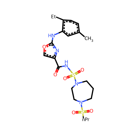 CCCS(=O)(=O)N1CCCN(S(=O)(=O)NC(=O)c2coc(Nc3cc(C)ccc3CC)n2)CC1